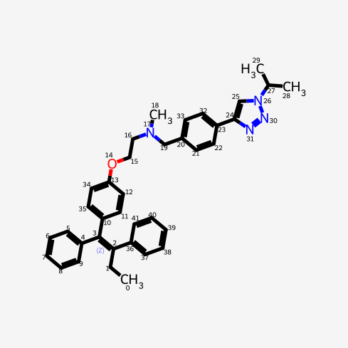 CC/C(=C(\c1ccccc1)c1ccc(OCCN(C)Cc2ccc(-c3cn(C(C)C)nn3)cc2)cc1)c1ccccc1